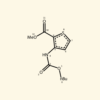 CCCCOC(=O)Nc1ccsc1C(=O)OC